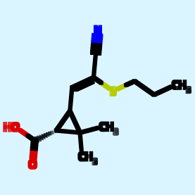 CCCSC(C#N)=CC1[C@@H](C(=O)O)C1(C)C